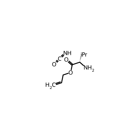 C=CCOC(=O)[C@@H](N)C(C)C.N=C=O